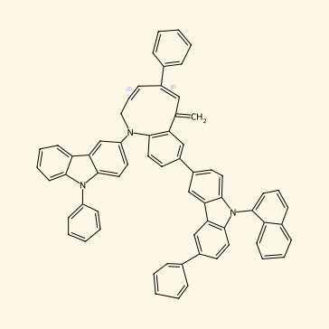 C=C1/C=C(c2ccccc2)\C=C/CN(c2ccc3c(c2)c2ccccc2n3-c2ccccc2)c2ccc(-c3ccc4c(c3)c3cc(-c5ccccc5)ccc3n4-c3cccc4ccccc34)cc21